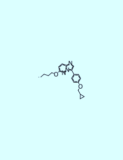 [CH2]CCCOc1ccc2ncc(-c3ccc(OCC4CC4)cc3)n2n1